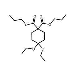 CCCOC(=O)C1(C(=O)OCCC)CCC(OCC)(OCC)CC1